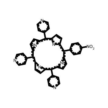 O=[N+]([O-])c1ccc(-c2c3nc(c(-c4ccncc4)c4ccc([nH]4)c(-c4ccncc4)c4nc(c(-c5ccncc5)c5ccc2[nH]5)C=C4)C=C3)cc1